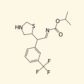 CC(C)OC(=O)N=CC(c1cccc(C(F)(F)F)c1)C1CNCS1